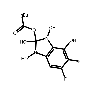 CCCCC(=O)OC1(O)N(O)c2cc(F)c(F)c(O)c2N1O